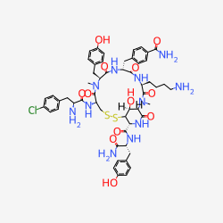 CN1C(=O)[C@H](CCCCN)NC(=O)[C@@H](Cc2ccc(C(N)=O)cc2)NC(=O)[C@H](Cc2ccc(O)cc2)N(C)C(=O)[C@H](NC(=O)[C@@H](N)Cc2ccc(Cl)cc2)CSSC2[C@@H](C(=O)N[C@H](Cc3ccc(O)cc3)C(N)=O)NC(=O)[C@@H]1[C@@H]2O